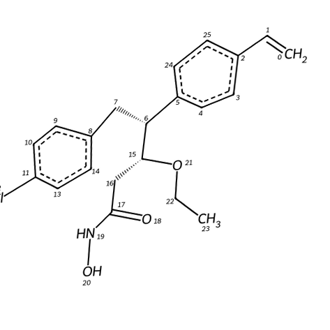 C=Cc1ccc([C@@H](Cc2ccc(Cl)cc2)[C@@H](CC(=O)NO)OCC)cc1